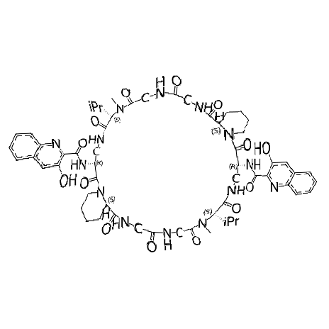 CC(C)[C@H]1C(=O)NC[C@@H](NC(=O)c2nc3ccccc3cc2O)C(=O)N2CCCC[C@H]2C(=O)NCC(=O)NCC(=O)N(C)[C@@H](C(C)C)C(=O)NC[C@@H](NC(=O)c2nc3ccccc3cc2O)C(=O)N2CCCC[C@H]2C(=O)NCC(=O)NCC(=O)N1C